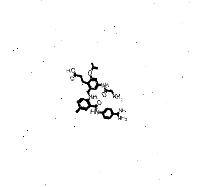 Cc1ccc(NCc2cc(NC(=O)CN)cc(OC(C)C)c2CCC(=O)O)c(C(=O)Nc2ccc(C(=N)N)cc2)c1